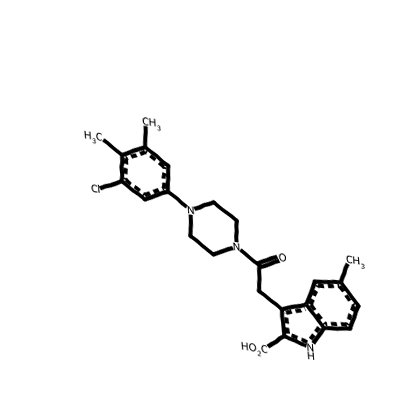 Cc1ccc2[nH]c(C(=O)O)c(CC(=O)N3CCN(c4cc(C)c(C)c(Cl)c4)CC3)c2c1